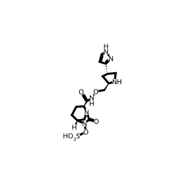 O=C(NOC[C@H]1C[C@H](c2cc[nH]n2)CN1)[C@@H]1CC[C@@H]2CN1C(=O)N2OS(=O)(=O)O